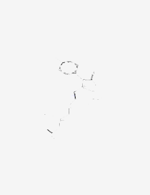 CC(C)[C@H]1CC(=O)N(c2ccc(F)cc2)[C@@H]1/C=C/[C@@H](O)C[C@@H](O)CC(=O)O